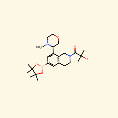 CC(C)(O)C(=O)N1CCc2cc(B3OC(C)(C)C(C)(C)O3)cc(C3COCCN3C(=O)O)c2C1